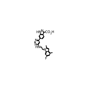 Cc1cc(F)cc2c1cc(C)n2CCNc1cc(-c2ccc3c(C(=O)O)n[nH]c3c2)ncn1